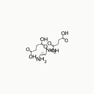 N/C=C/N.O=C(O)CCC(=O)O.O=C(O)CCC(=O)O